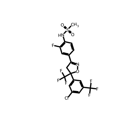 CS(=O)(=O)Nc1ccc(C2=NOC(c3cc(Cl)cc(C(F)(F)F)c3)(C(F)(F)F)C2)cc1F